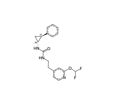 O=C(NCCc1ccnc(OC(F)F)c1)N[C@@H]1C[C@H]1c1ccccc1